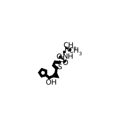 CN(C)CNS(=O)(=O)c1ccc(C2CC2C(O)C2CCCC2)s1